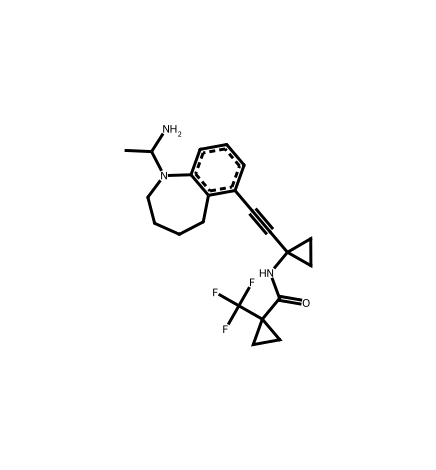 CC(N)N1CCCCc2c(C#CC3(NC(=O)C4(C(F)(F)F)CC4)CC3)cccc21